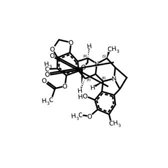 COc1c(C)cc2c(c1O)[C@@H]1C3[C@@H]4SCC(=O)C(=O)OC[C@@H](c5c6c(c(C)c(OC(C)=O)c54)OCO6)N3[C@@H](C)C3CC2N31